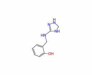 Oc1ccccc1CNC1=NNCN1